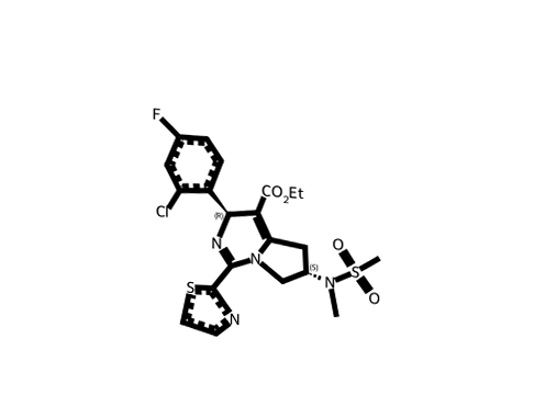 CCOC(=O)C1=C2C[C@H](N(C)S(C)(=O)=O)CN2C(c2nccs2)=N[C@H]1c1ccc(F)cc1Cl